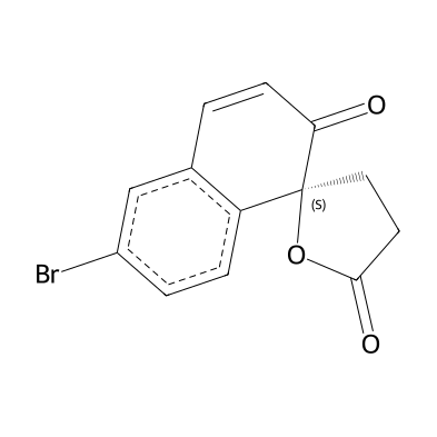 O=C1CC[C@@]2(O1)C(=O)C=Cc1cc(Br)ccc12